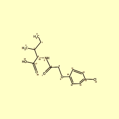 CCC(C)[C@H](NC(=O)COc1ccc(Cl)cc1)C(=O)O